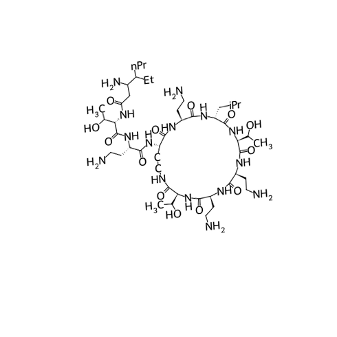 CCCC(CC)C(N)CC(=O)N[C@H](C(=O)N[C@@H](CCN)C(=O)N[C@H]1CCNC(=O)[C@H](C(C)O)NC(=O)[C@H](CCN)NC(=O)[C@H](CCN)NC(=O)[C@H](C(C)O)NC(=O)[C@@H](CC(C)C)NC(=O)[C@H](CCN)NC1=O)C(C)O